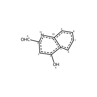 O=Cc1cc(O)c2ccccc2n1